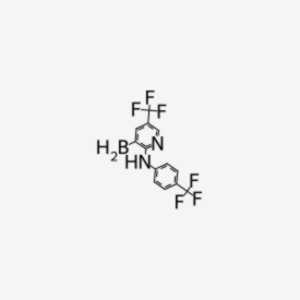 Bc1cc(C(F)(F)F)cnc1Nc1ccc(C(F)(F)F)cc1